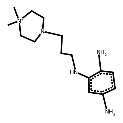 C[N+]1(C)CCN(CCCNc2cc(N)ccc2N)CC1